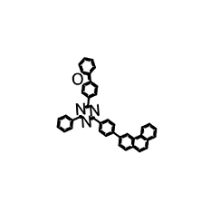 c1ccc(-c2nc(-c3ccc(-c4ccc5ccc6ccccc6c5c4)cc3)nc(-c3ccc4c(c3)oc3ccccc34)n2)cc1